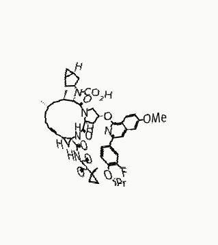 COc1ccc2c(O[C@@H]3C[C@H]4C(=O)N[C@]5(C(=O)NS(=O)(=O)C6(C)CC6)C[C@H]5/C=C\CC[C@H](C)C[C@@H](C)[C@H](N(C(=O)O)[C@H]5CC6C[C@H]6C5)C(=O)N4C3)nc(-c3ccc(OC(C)C)c(F)c3)cc2c1